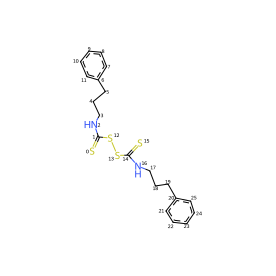 S=C(NCCCc1ccccc1)SSC(=S)NCCCc1ccccc1